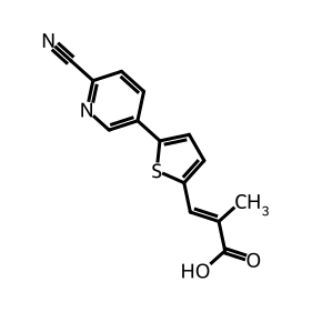 C/C(=C\c1ccc(-c2ccc(C#N)nc2)s1)C(=O)O